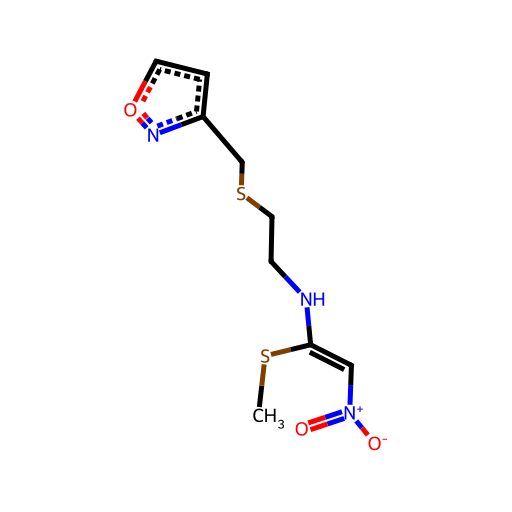 CSC(=C[N+](=O)[O-])NCCSCc1ccon1